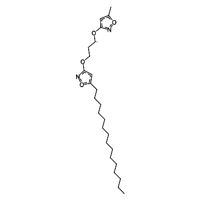 CCCCCCCCCCCCCCCc1cc(OCC[CH]Oc2cc(C)on2)no1